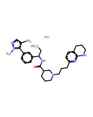 Cc1cnn(C)c1-c1cccc(C(CC(=O)O)NC(=O)C2CCCN(CCCc3ccc4c(n3)NCCC4)C2)c1.Cl